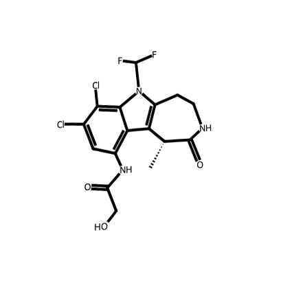 C[C@H]1C(=O)NCCc2c1c1c(NC(=O)CO)cc(Cl)c(Cl)c1n2C(F)F